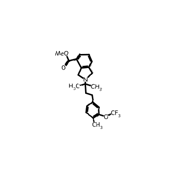 COC(=O)c1cccc2c1CN(C(C)(C)CCc1ccc(C)c(OC(F)(F)F)c1)C2